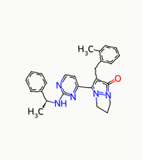 Cc1ccccc1Cc1c(-c2ccnc(N[C@@H](C)c3ccccc3)n2)n2n(c1=O)CCC2